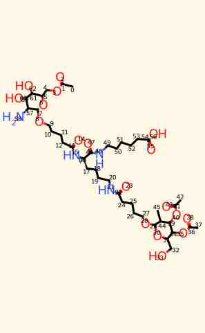 CC(=O)OCC1OC(OCCCCC(=O)N[C@H](CCCCNC(=O)CCCCOC2OC(CO)C(OC(C)=O)C(OC(C)=O)C2C)C(=O)NCCCCCC(=O)O)C(N)C(O)C1O